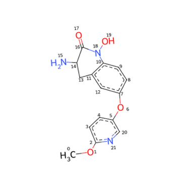 COc1ccc(Oc2ccc3c(c2)CC(N)C(=O)N3O)cn1